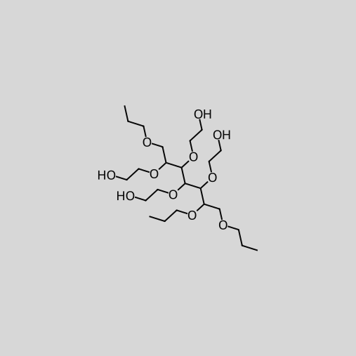 CCCOCC(OCCC)C(OCCO)C(OCCO)C(OCCO)C(COCCC)OCCO